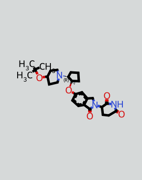 CC(C)(C)OC1CCN([C@@H]2CCC[C@H]2Oc2ccc3c(c2)CN(C2CCC(=O)NC2=O)C3=O)CC1